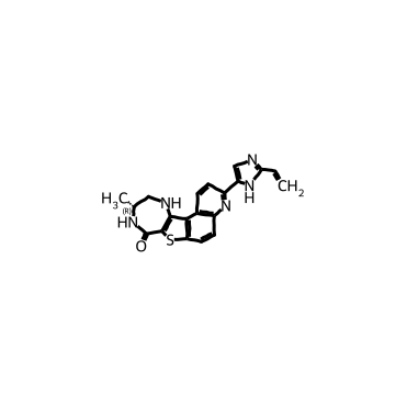 C=Cc1ncc(-c2ccc3c(ccc4sc5c(c43)NC[C@@H](C)NC5=O)n2)[nH]1